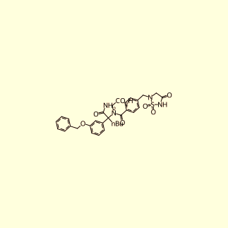 CCCCC(C(N)=O)(c1cccc(OCc2ccccc2)c1)N(CC(=O)O)C(=O)c1ccc(CN2CC(=O)NS2(=O)=O)cc1